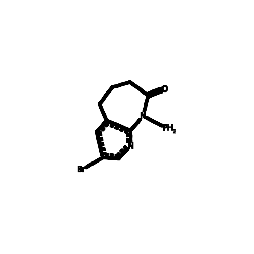 O=C1CCCc2cc(Br)cnc2N1P